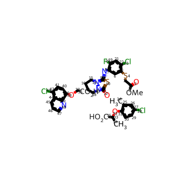 COC(=O)CSc1cc(/N=c2\sc(=O)n3n2CCCC3)c(F)cc1Cl.Cc1cc(Cl)ccc1OC(C)C(=O)O.O=C(O)COc1ccc(Cl)c2cccnc12